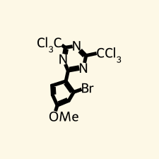 COc1ccc(-c2nc(C(Cl)(Cl)Cl)nc(C(Cl)(Cl)Cl)n2)c(Br)c1